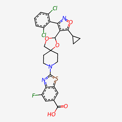 O=C(O)c1cc(F)c2nc(N3CCC4(CC3)COC(c3c(-c5c(Cl)cccc5Cl)noc3C3CC3)O4)sc2c1